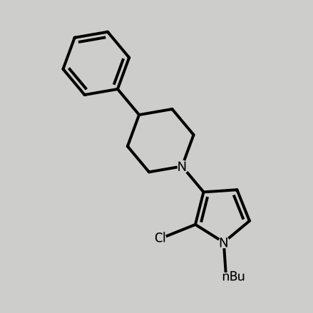 CCCCn1ccc(N2CCC(c3ccccc3)CC2)c1Cl